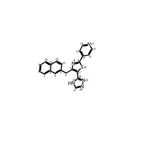 c1ccc2cc(Cc3nc(-c4ccncc4)sc3-c3nnc[nH]3)ccc2c1